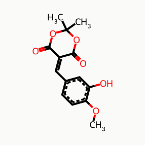 COc1ccc(C=C2C(=O)OC(C)(C)OC2=O)cc1O